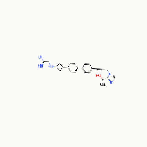 CC(O)c1nccn1CC#Cc1ccc(-c2ccc(C3CC(NCC(=N)N)C3)cc2)cc1